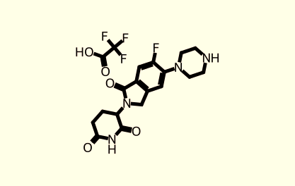 O=C(O)C(F)(F)F.O=C1CCC(N2Cc3cc(N4CCNCC4)c(F)cc3C2=O)C(=O)N1